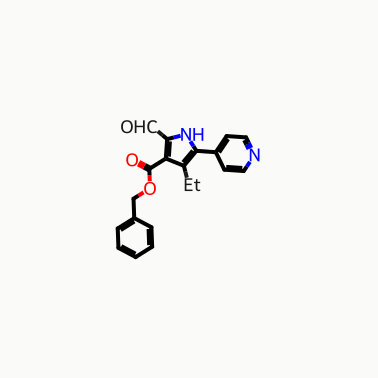 CCc1c(-c2ccncc2)[nH]c(C=O)c1C(=O)OCc1ccccc1